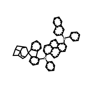 c1ccc(N(c2ccc3ccccc3c2)c2ccc3ccc4c(N(c5ccccc5)c5cccc6c5-c5ccccc5C65C6CC7CC8CC5CC78C6)ccc5ccc2c3c54)cc1